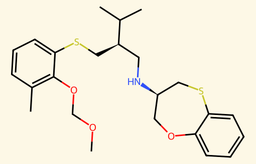 COCOc1c(C)cccc1SC[C@H](CN[C@@H]1COc2ccccc2SC1)C(C)C